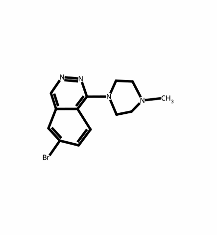 CN1CCN(c2nncc3cc(Br)ccc23)CC1